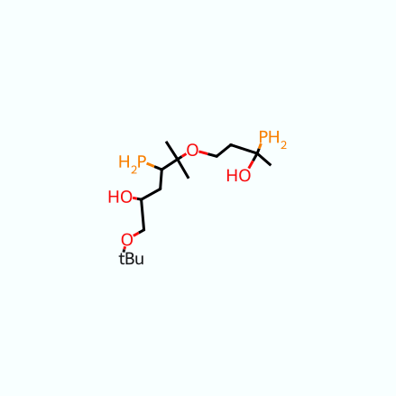 CC(O)(P)CCOC(C)(C)C(P)CC(O)COC(C)(C)C